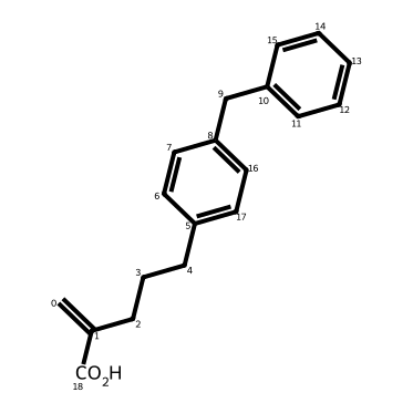 C=C(CCCc1ccc(Cc2ccccc2)cc1)C(=O)O